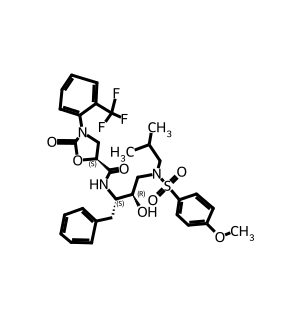 COc1ccc(S(=O)(=O)N(CC(C)C)C[C@@H](O)[C@H](Cc2ccccc2)NC(=O)[C@@H]2CN(c3ccccc3C(F)(F)F)C(=O)O2)cc1